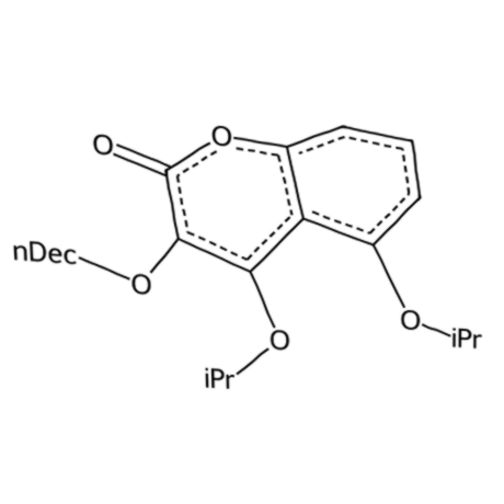 CCCCCCCCCCOc1c(OC(C)C)c2c(OC(C)C)cccc2oc1=O